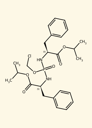 CC(C)OC(=O)[C@H](Cc1ccccc1)NP(=O)(N[C@@H](Cc1ccccc1)C(=O)OC(C)C)OCCl